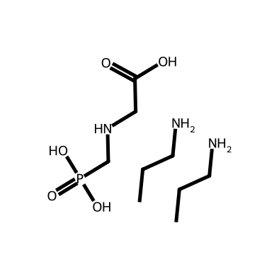 CCCN.CCCN.O=C(O)CNCP(=O)(O)O